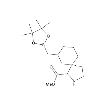 COC(=O)C1NCCC12CCCC(CB1OC(C)(C)C(C)(C)O1)C2